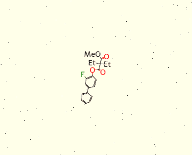 CCC(CC)(C(=O)OC)C(=O)Oc1ccc(-c2ccccc2)cc1F